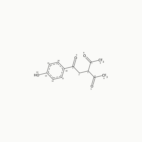 O=C(CC(C(=O)C(F)(F)F)C(=O)C(F)(F)F)c1ccc(O)cc1